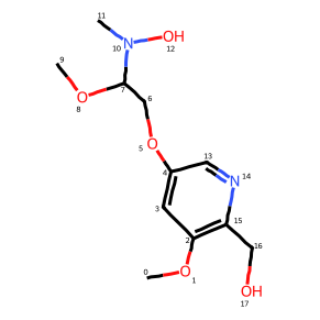 COc1cc(OCC(OC)N(C)O)cnc1CO